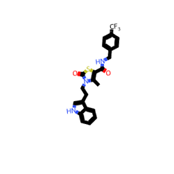 Cc1c(C(=O)NCc2ccc(C(F)(F)F)cc2)sc(=O)n1CCc1c[nH]c2ccccc12